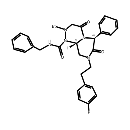 CCN1CC(=O)N2[C@@H](c3ccccc3)C(=O)N(CCc3ccc(F)cc3)C[C@@H]2N1C(=O)NCc1ccccc1